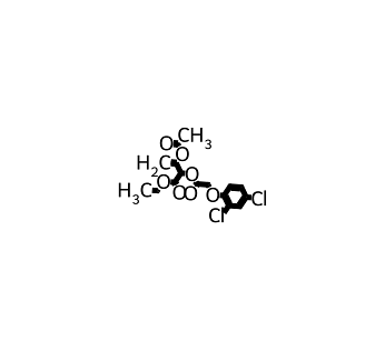 C=C(OC(C)=O)C(OC(=O)COc1ccc(Cl)cc1Cl)C(=O)OCC